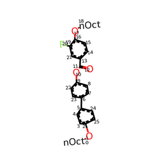 CCCCCCCCOc1ccc(-c2ccc(OC(=O)c3ccc(OCCCCCCCC)c(F)c3)cc2)cc1